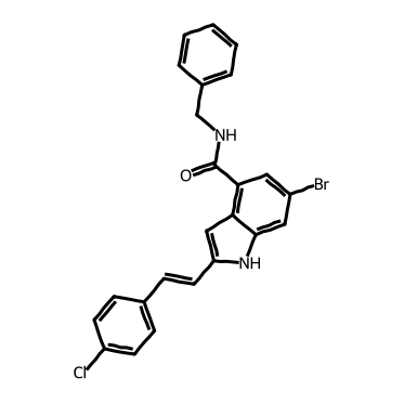 O=C(NCc1ccccc1)c1cc(Br)cc2[nH]c(C=Cc3ccc(Cl)cc3)cc12